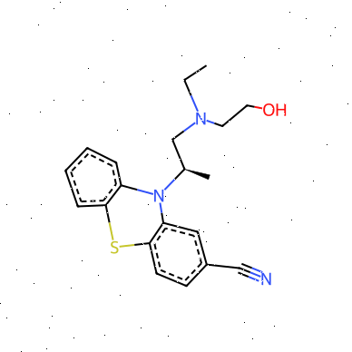 CCN(CCO)C[C@@H](C)N1c2ccccc2Sc2ccc(C#N)cc21